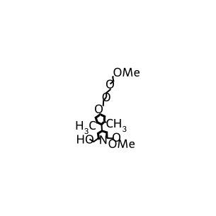 COCCOCCOCCOc1cc(C)c(-c2cc(CO)nc(C(=O)OC)c2)c(C)c1